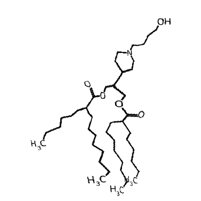 CCCCCCCCC(CCCCCC)C(=O)OCC(COC(=O)C(CCCCCC)CCCCCCCC)C1CCN(CCCCO)CC1